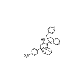 O=C(/C=C1/NC(Cc2ccncc2)(Cc2ccncc2)C(=O)N1C12CC3CC(CC(C3)C1)C2)c1ccc([N+](=O)[O-])cc1